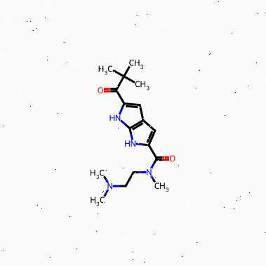 CN(C)CCN(C)C(=O)c1cc2cc(C(=O)C(C)(C)C)[nH]c2[nH]1